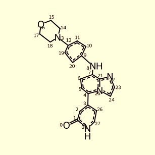 O=c1cc(-c2ccc(Nc3ccc(N4CCOCC4)cc3)c3nccn23)cc[nH]1